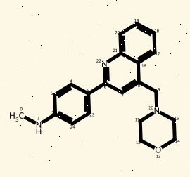 CNc1ccc(-c2cc(CN3CCOCC3)c3ccccc3n2)cc1